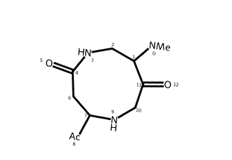 CNC1CNC(=O)CC(C(C)=O)NCC1=O